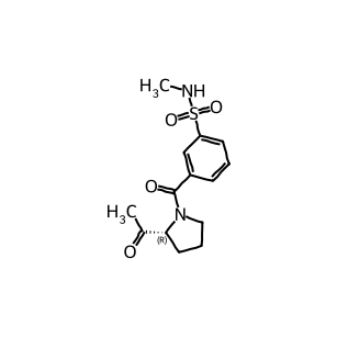 CNS(=O)(=O)c1cccc(C(=O)N2CCC[C@@H]2C(C)=O)c1